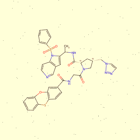 CC(NC(=O)[C@@H]1C[C@H](Cn2ccnn2)CN1C(=O)CNC(=O)c1ccc2c(c1)Oc1ccccc1S2)c1cc2cnccc2n1S(=O)(=O)c1ccccc1